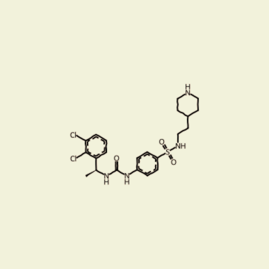 C[C@H](NC(=O)Nc1ccc(S(=O)(=O)NCCC2CCNCC2)cc1)c1cccc(Cl)c1Cl